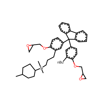 CCCCc1cc(C2(c3ccc(OCC4CO4)c(CCC[Si](C)(C)C4CCC(C)CC4)c3)c3ccccc3-c3ccccc32)ccc1OCC1CO1